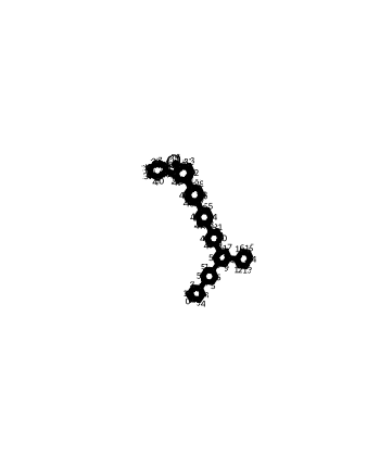 c1ccc(-c2ccc(-c3cc(-c4ccccc4)cc(-c4ccc(-c5ccc(-c6ccc(-c7ccc8oc9ccccc9c8c7)cc6)cc5)cc4)c3)cc2)cc1